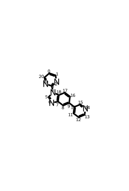 c1cnc(-n2cnc3cc(-c4cccnc4)ccc32)nc1